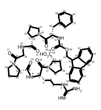 N=C(N)NCCC[C@H](NC(=O)[C@@H]1CCCN1C(=O)CNC(=O)[C@@H]1CCCN1C(=O)[C@H](Cc1ccccc1)NC(=O)OCC1c2ccccc2-c2ccccc21)C(=O)N1CCC[C@H]1C(=O)O